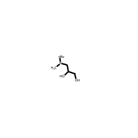 CCCCN(C)CC(O)CO